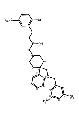 CC(=O)Nc1ccc(O)c(OCC(O)CN2CCC(COCc3cc(C(F)(F)F)cc(C(F)(F)F)c3)(c3ccccc3)CC2)c1